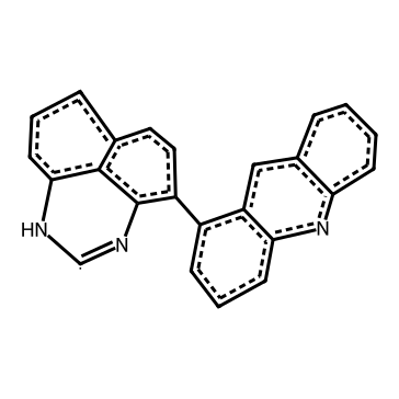 [C]1=Nc2c(-c3cccc4nc5ccccc5cc34)ccc3cccc(c23)N1